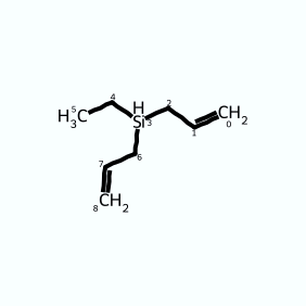 C=CC[SiH](CC)CC=C